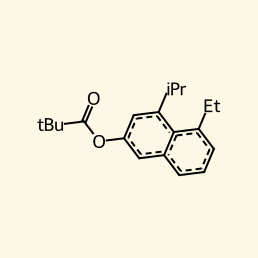 CCc1cccc2cc(OC(=O)C(C)(C)C)cc(C(C)C)c12